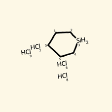 C1CC[SiH2]CC1.Cl.Cl.Cl.Cl